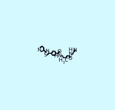 CC(=CC(=O)NCC#N)CCNC(=O)c1ccc(-c2csc(-c3cccnc3)n2)cc1